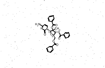 CC1(OC(=O)c2ccccc2)[C@H](OC(=O)c2ccccc2)[C@@H](COC(=O)c2ccccc2)O[C@H]1n1ccc(N)nc1=O